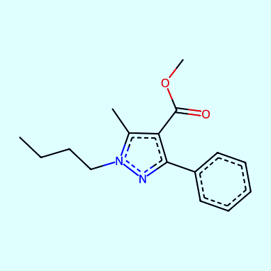 CCCCn1nc(-c2ccccc2)c(C(=O)OC)c1C